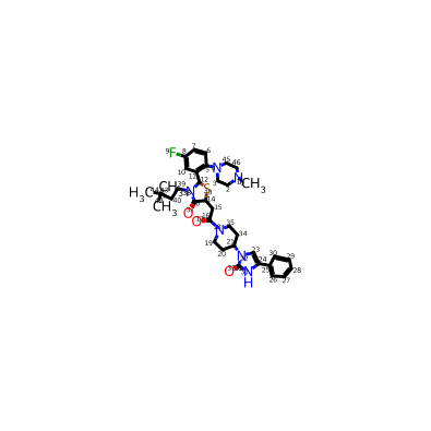 CN1CCN(c2ccc(F)cc2C2SC(CC(=O)N3CCC(n4cc(-c5ccccc5)[nH]c4=O)CC3)C(=O)N2CCC(C)(C)C)CC1